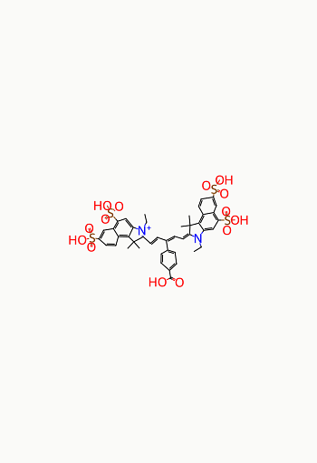 CCN1/C(=C/C=C(/C=C/C2=[N+](CC)c3cc(S(=O)(=O)O)c4cc(S(=O)(=O)O)ccc4c3C2(C)C)c2ccc(C(=O)O)cc2)C(C)(C)c2c1cc(S(=O)(=O)O)c1cc(S(=O)(=O)O)ccc21